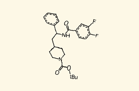 CC(C)(C)OC(=O)N1CCC(CC(NC(=O)c2ccc(F)c(F)c2)c2ccccc2)CC1